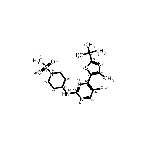 Cc1nc(C(C)(C)C)sc1-c1nc(NC2CCN(S(C)(=O)=O)CC2)ncc1F